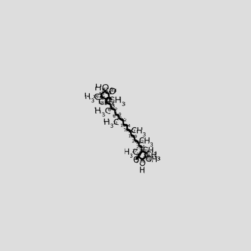 CC1=C(/C=C/C(C)=C/C=C/C(C)=C/C=C/C=C(C)/C=C/C=C(C)/C=C/C2=C(C)C(=O)[C@@H](O)C(O)C2(C)C)C(C)(C)C[C@H](O)C1=O